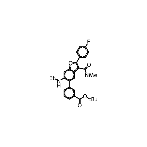 CCNc1cc2oc(-c3ccc(F)cc3)c(C(=O)NC)c2cc1-c1cccc(C(=O)OC(C)(C)C)c1